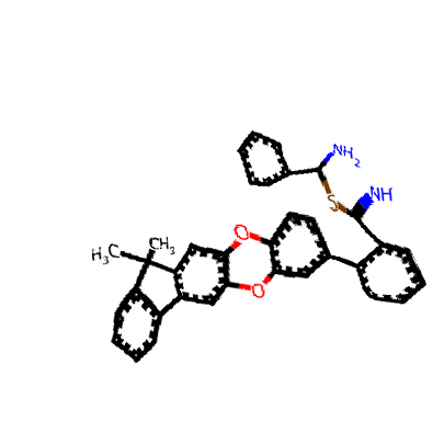 CC1(C)c2ccccc2-c2cc3c(cc21)Oc1ccc(-c2ccccc2C(=N)SC(N)c2ccccc2)cc1O3